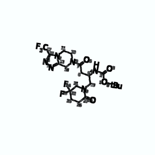 CC(C)(C)OC(=O)NC(CC(=O)N1CCn2c(nnc2C(F)(F)F)C1)CN1CC(F)(F)CCC1=O